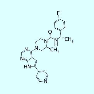 C[C@H](NC(=O)N1CCN(c2ncnc3[nH]c(-c4ccncc4)cc23)C[C@@H]1C)c1ccc(F)cc1